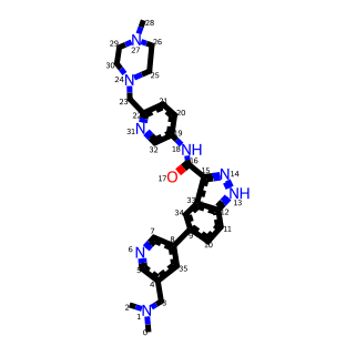 CN(C)Cc1cncc(-c2ccc3[nH]nc(C(=O)Nc4ccc(CN5CCN(C)CC5)nc4)c3c2)c1